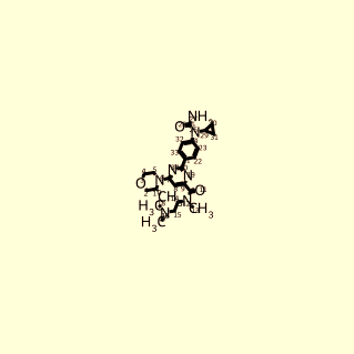 C[C@H]1COCCN1c1cc(C(=O)N(C)CCN(C)C)nc(-c2ccc(N(C(N)=O)C3CC3)cc2)n1